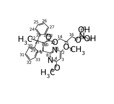 COc1cc(OC)nc(C[C@H](C(=O)OCCCON(O)O)C(C)(c2ccccc2)c2ccccc2)n1